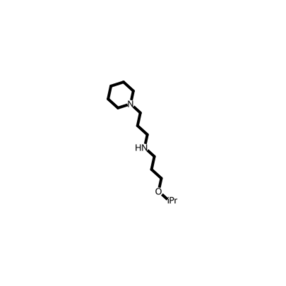 CC(C)OCCCNCCCN1CCCCC1